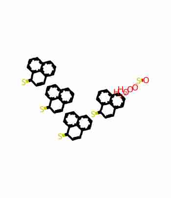 O.O.O=S=O.S=C1C=Cc2cccc3cccc1c23.S=C1C=Cc2cccc3cccc1c23.S=C1C=Cc2cccc3cccc1c23.S=C1C=Cc2cccc3cccc1c23